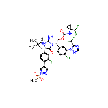 CC(C)(C)C[C@]1(c2ccc(-c3cnn(S(C)(=O)=O)c3)c(F)c2)NC(=N)N([C@H](COC(=O)NC2(C(F)F)CC2)c2ccc(Cl)c(-n3ncnc3C(F)F)c2)C1=O